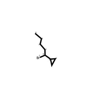 CCCCC(Br)C1CC1